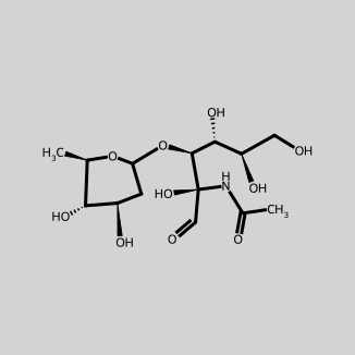 CC(=O)N[C@](O)(C=O)[C@@H](OC1C[C@@H](O)[C@H](O)[C@@H](C)O1)[C@H](O)[C@H](O)CO